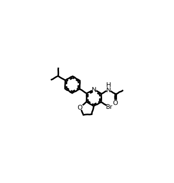 CC(=O)Nc1nc(-c2ccc(C(C)C)cc2)c2c(c1Br)CCO2